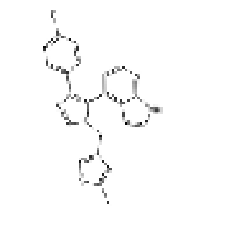 Cc1nc(Cn2cnc(-c3ccc(F)cc3)c2-c2ccnc3[nH]ccc23)cs1